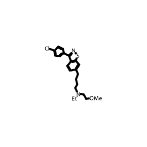 CCN(CCCCc1ccc2c(-c3ccc(Cl)cc3)nsc2c1)CCOC